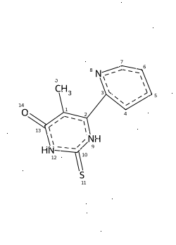 Cc1c(-c2ccccn2)[nH]c(=S)[nH]c1=O